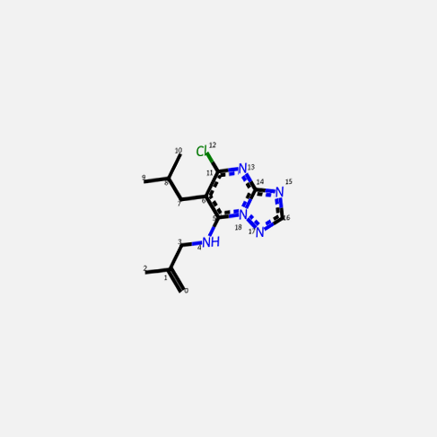 C=C(C)CNc1c(CC(C)C)c(Cl)nc2ncnn12